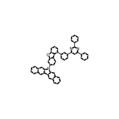 c1ccc(-c2cc(-c3cccc(-c4cccc5oc6cc(-n7c8cc9ccccc9cc8c8cc9ccccc9cc87)ccc6c45)c3)nc(-c3ccccc3)n2)cc1